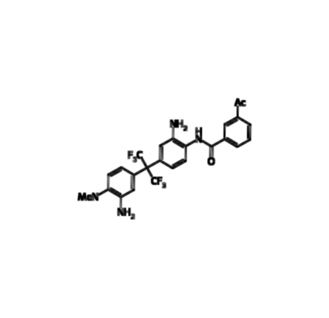 CNc1ccc(C(c2ccc(NC(=O)c3cccc(C(C)=O)c3)c(N)c2)(C(F)(F)F)C(F)(F)F)cc1N